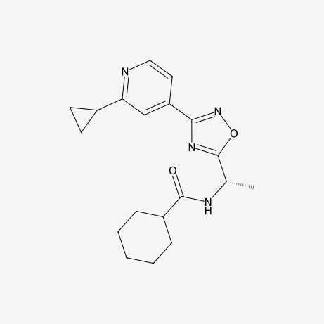 C[C@H](NC(=O)C1CCCCC1)c1nc(-c2ccnc(C3CC3)c2)no1